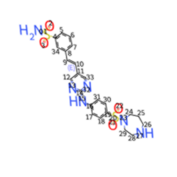 NS(=O)(=O)c1cccc(/C=C/c2cnc(Nc3ccc(S(=O)(=O)N4CCCNCC4)cc3)nc2)c1